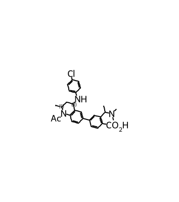 CC(=O)N1c2ccc(-c3ccc(C(=O)O)c(C(C)N(C)C)c3)cc2[C@H](Nc2ccc(Cl)cc2)C[C@@H]1C